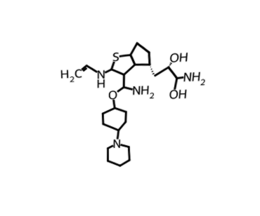 C=CNC1SC2CC[C@H](C[C@H](O)C(N)O)C2C1C(N)OC1CCC(N2CCCCC2)CC1